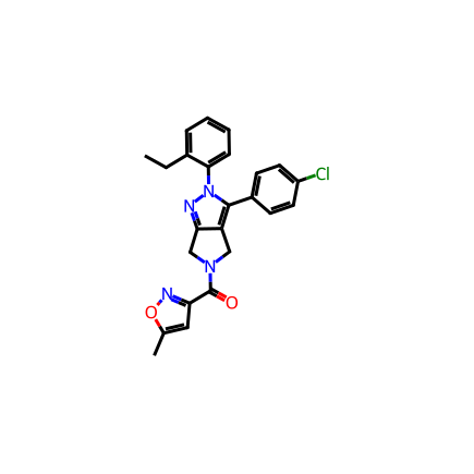 CCc1ccccc1-n1nc2c(c1-c1ccc(Cl)cc1)CN(C(=O)c1cc(C)on1)C2